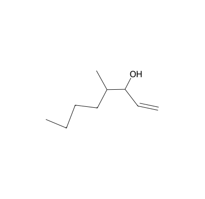 C=CC(O)C(C)CCCC